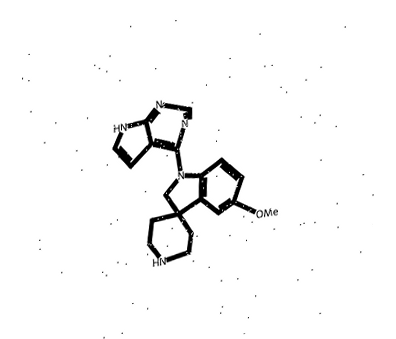 COc1ccc2c(c1)C1(CCNCC1)CN2c1ncnc2[nH]ccc12